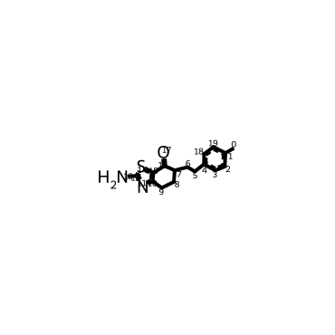 Cc1ccc(CCC2CCc3nc(N)sc3C2=O)cc1